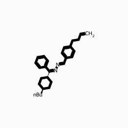 C=CCCc1ccc(C=NN=C(c2ccccc2)[C@H]2CC[C@H](CCCC)CC2)cc1